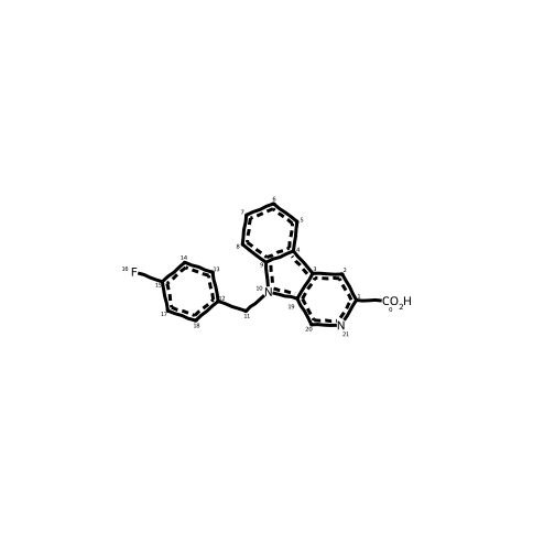 O=C(O)c1cc2c3ccccc3n(Cc3ccc(F)cc3)c2cn1